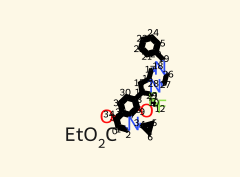 CCOC(=O)c1cn(C2CC2)c2c(OC(F)F)c(C3CC4CN(Cc5ccccc5)CCN4C3)ccc2c1=O